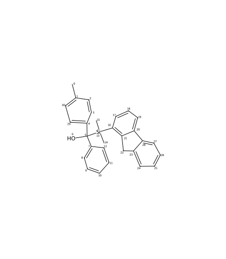 Cc1ccc(C(O)(c2ccccc2)[Si](C)(C)c2cccc3c2Cc2ccccc2-3)cc1